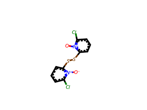 [O-][n+]1c(Cl)cccc1SSc1cccc(Cl)[n+]1[O-]